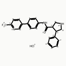 Cl.O=C(Nc1ccc(-c2ccc(C(F)(F)F)nc2)cc1)C1CNCC1c1ccccc1